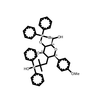 COc1ccc([C@@H]2O[C@H](CO)C(O[Si](c3ccccc3)(c3ccccc3)C(C)(C)C)[C@H](O)C2CC(C)(C)[Si](O)(c2ccccc2)c2ccccc2)cc1